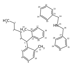 CCCCCC(c1ccccc1C)c1ccccc1C.c1ccc(CNCc2ccccc2)cc1